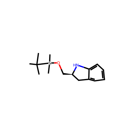 CC(C)(C)[Si](C)(C)OC[C@@H]1Cc2ccccc2N1